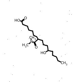 CCCCCC(O)CCCC(CCCCCCC(=O)O)C(=O)N(C)C